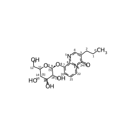 CCCc1cnc2c(O[C@@H]3OC(CO)[C@@H](O)[C@H](O)C3O)cccn2c1=O